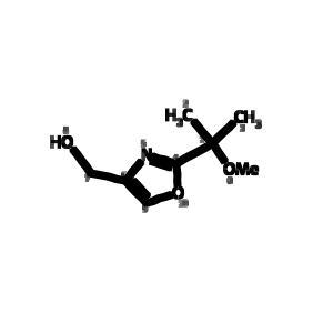 COC(C)(C)c1nc(CO)co1